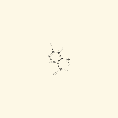 CNc1c([N+](=O)[O-])ncc(F)c1C